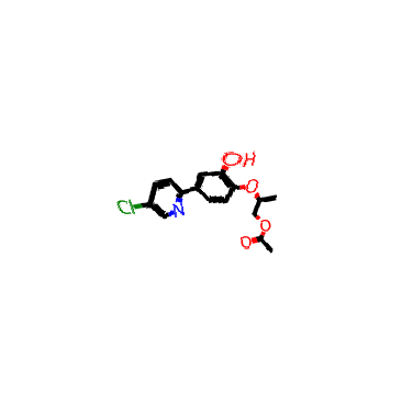 CC(=O)OCC(C)Oc1ccc(-c2ccc(Cl)cn2)cc1O